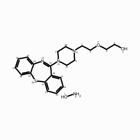 NO.OCCOCCN1CCN(C2=Nc3ccccc3Sc3ccccc32)CC1